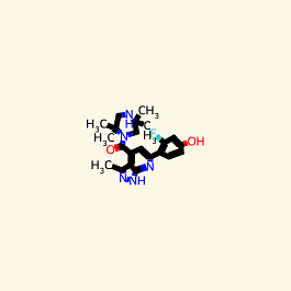 Cc1n[nH]c2nc(-c3ccc(O)cc3F)cc(C(=O)N3CC(C)(C)NCC3(C)C)c12